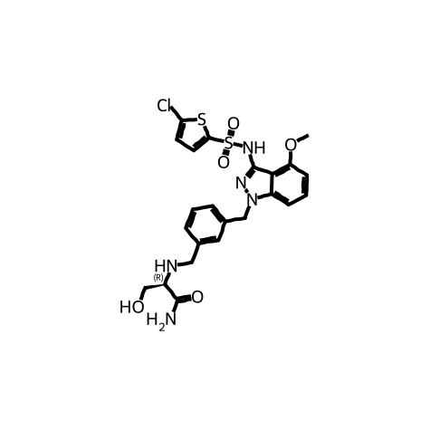 COc1cccc2c1c(NS(=O)(=O)c1ccc(Cl)s1)nn2Cc1cccc(CN[C@H](CO)C(N)=O)c1